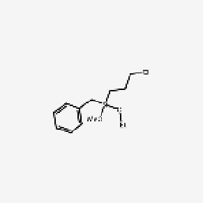 CCO[Si](CCCCl)(Cc1ccccc1)OC